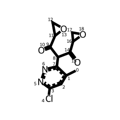 Cc1cc(Cl)nnc1C(C(=O)C1CO1)C(=O)C1CO1